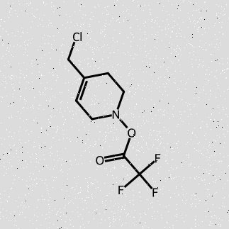 O=C(ON1CC=C(CCl)CC1)C(F)(F)F